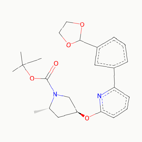 C[C@H]1C[C@H](Oc2cccc(-c3cccc(C4OCCO4)c3)n2)CN1C(=O)OC(C)(C)C